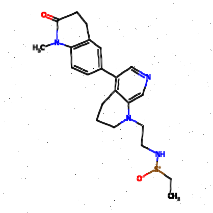 CC[S+]([O-])NCCN1CCCc2c(-c3ccc4c(c3)CCC(=O)N4C)cncc21